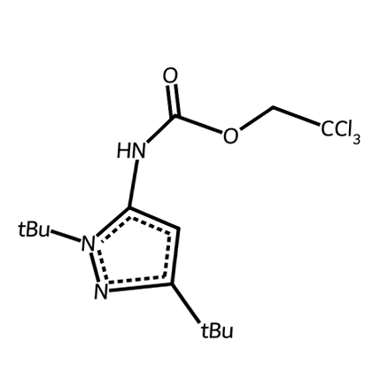 CC(C)(C)c1cc(NC(=O)OCC(Cl)(Cl)Cl)n(C(C)(C)C)n1